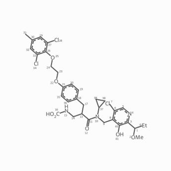 CCC(OC)c1ncc(Cl)c(CN(C(=O)C(CNC(=O)O)Cc2ccc(OCCOc3c(Cl)cc(C)cc3Cl)cc2)C2CC2)c1O